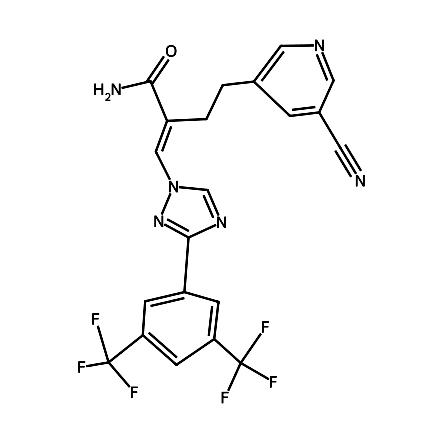 N#Cc1cncc(CC/C(=C\n2cnc(-c3cc(C(F)(F)F)cc(C(F)(F)F)c3)n2)C(N)=O)c1